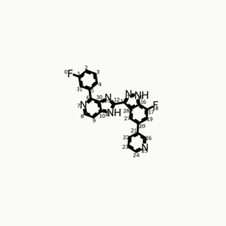 Fc1cccc(-c2nccc3[nH]c(-c4n[nH]c5c(F)cc(-c6cccnc6)cc45)nc23)c1